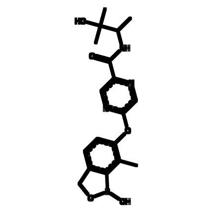 Cc1c(Oc2cnc(C(=O)NC(C)C(C)(C)O)cn2)ccc2c1B(O)OC2